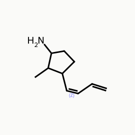 C=C/C=C\C1CCC(N)C1C